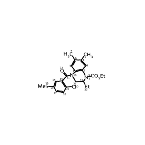 CCOC(=O)N1c2cc(C)c(C)cc2N(C(=O)c2cc(SC)ccc2Cl)CC1CC